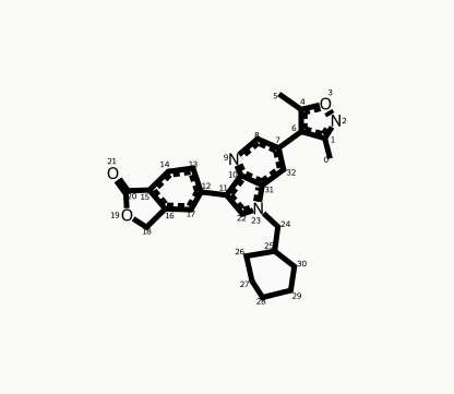 Cc1noc(C)c1-c1cnc2c(-c3ccc4c(c3)COC4=O)cn(CC3CCCCC3)c2c1